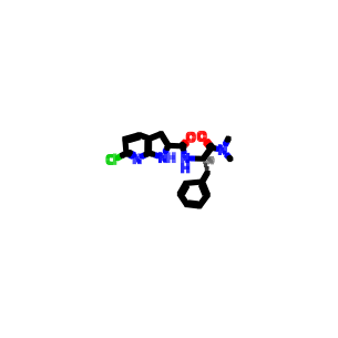 CN(C)C(=O)[C@H](Cc1ccccc1)NC(=O)C1Cc2ccc(Cl)nc2N1